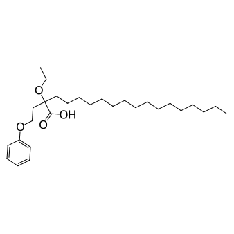 CCCCCCCCCCCCCCCCC(CCOc1ccccc1)(OCC)C(=O)O